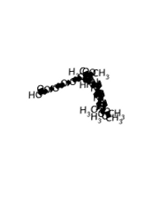 CC[C@H]1CN(c2ccc(-c3ccnc(Nc4cc(OC)c(OC)c(OCCOCCOCCOCCOCC(=O)O)c4)n3)cn2)CCN1C(=O)OC(C)(C)C